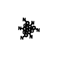 N#Cc1cccc(P2(=O)c3cc(C#N)cc4c3N3c5c2cc(C#N)cc5P(=O)(c2cccc(C#N)c2)c2cc(C#N)cc(c23)P4(=O)c2cccc(C#N)c2)c1